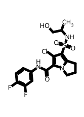 CC(CO)NS(=O)(=O)c1c(Cl)c(C(=O)Nc2ccc(F)c(F)c2)n2c1CCC2